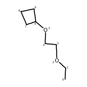 CCOCCOC1CCC1